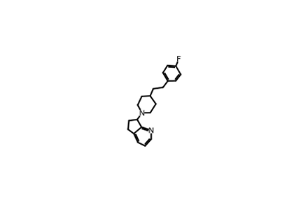 Fc1ccc(CCC2CCN(C3CCc4cccnc43)CC2)cc1